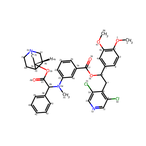 COc1ccc(C(Cc2c(Cl)cncc2Cl)OC(=O)c2cccc(N(C)C(C(=O)O[C@H]3CN4CCC3CC4)c3ccccc3)c2)cc1OC